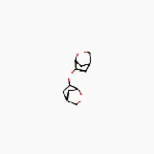 C1OC2CC1CC2OC1CC2COC1C2